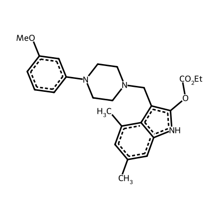 CCOC(=O)Oc1[nH]c2cc(C)cc(C)c2c1CN1CCN(c2cccc(OC)c2)CC1